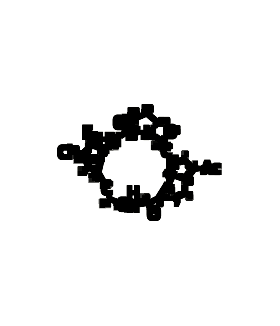 CC(=O)c1cn2c3cc(ccc13)C(=O)NCCCc1cc(Cl)c(F)c(c1)NC(=O)[C@@H]1CCCN1C(=O)C2